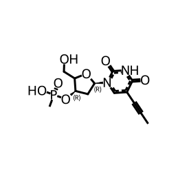 CC#Cc1cn([C@H]2C[C@@H](OP(C)(=O)O)C(CO)O2)c(=O)[nH]c1=O